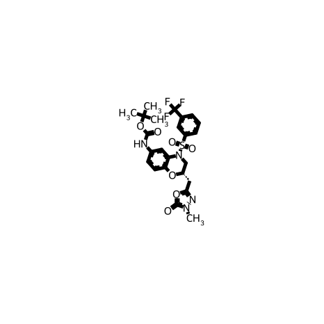 Cn1nc(C[C@H]2CN(S(=O)(=O)c3cccc(C(F)(F)F)c3)c3cc(NC(=O)OC(C)(C)C)ccc3O2)oc1=O